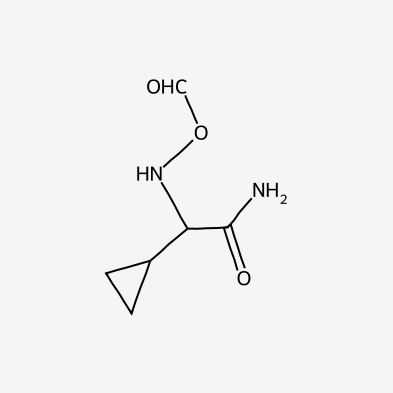 NC(=O)C(NOC=O)C1CC1